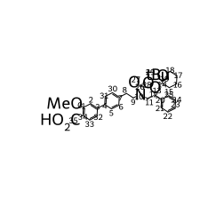 COc1cc(-c2ccc(CCN(C[C@@H](OC3CCCCO3)c3ccccc3)C(=O)OC(C)(C)C)cc2)ccc1C(=O)O